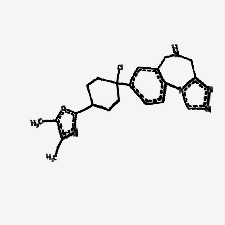 Cc1nc(C2CCC(Cl)(c3ccc4c(c3)CNCc3nncn3-4)CC2)oc1C